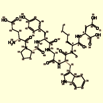 CCCC[C@@H](C(=O)N[C@@H](CC(=O)O)C(=O)O)N(C)C(=O)[C@H](Cc1c[nH]c2ccccc12)NC(=O)CNC(=O)[C@H](Cc1ccc(O)cc1)NC(=O)[C@@H]1CCCN1C(=O)[C@H](N)CCC(=O)O